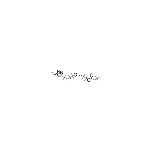 CCn1cc(C(C)(C)CC(C)(C)C(C)(C)OCCC(C)(C)C(C)(C)OC(=O)CC(C)(C)C)nn1